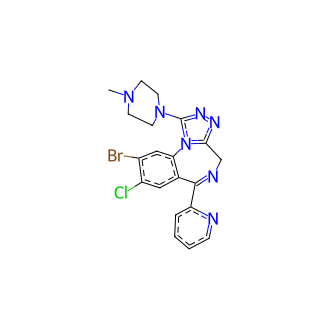 CN1CCN(c2nnc3n2-c2cc(Br)c(Cl)cc2C(c2ccccn2)=NC3)CC1